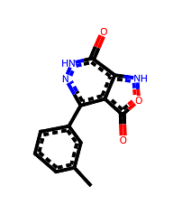 Cc1cccc(-c2n[nH]c(=O)c3[nH]oc(=O)c23)c1